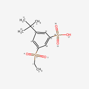 CCS(=O)(=O)c1cc(C(C)(C)C)cc(S(=O)(=O)O)c1